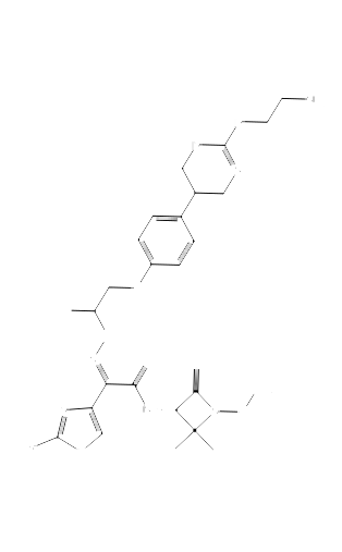 CC1(C)[C@H](NC(=O)/C(=N\OC(COc2ccc(C3CN=C(NCCN)NC3)cc2)C(=O)O)c2csc(N)n2)C(=O)N1OS(=O)(=O)O